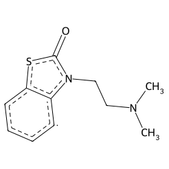 CN(C)CCn1c(=O)sc2ccc[c]c21